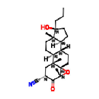 CCC[C@]1(O)CC[C@H]2[C@@H]3CC[C@@]45O[C@]4(C)C(=O)[C@H](C#N)C[C@]5(C)[C@H]3CC[C@@]21C